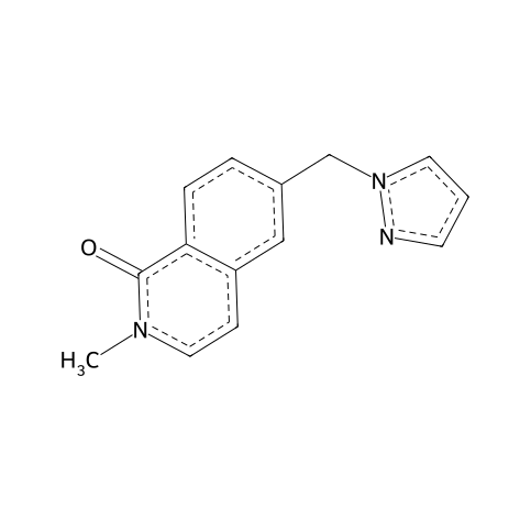 Cn1ccc2cc(Cn3cccn3)ccc2c1=O